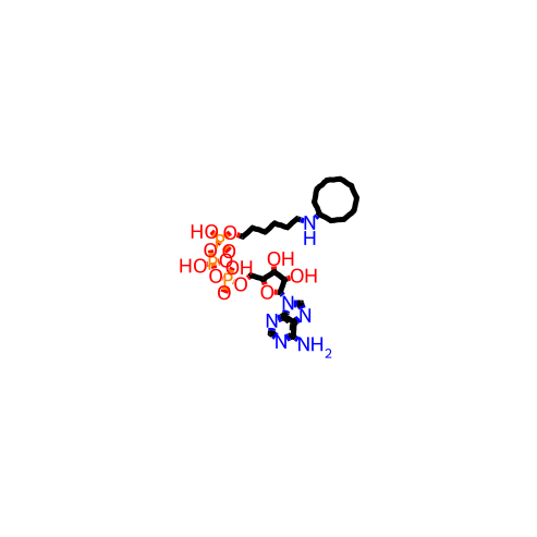 Nc1ncnc2c1ncn2C1OC(COP(=O)(O)OP(=O)(O)OP(=O)(O)OCCCCCCNC2CCCCCCCCC2)C(O)C1O